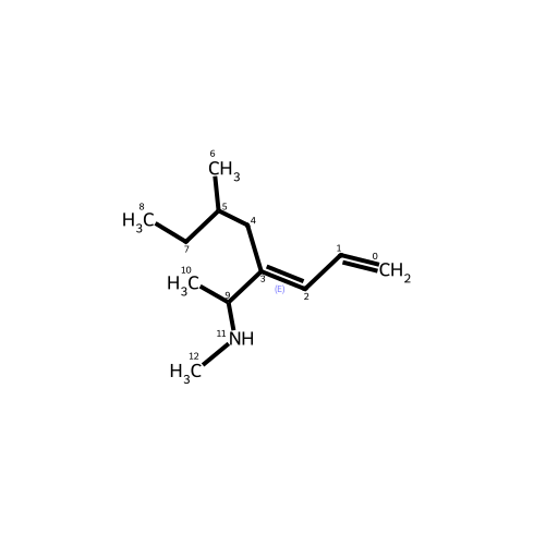 C=C/C=C(\CC(C)CC)C(C)NC